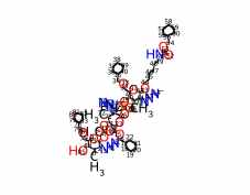 C[C@@H]1C(N=[N+]=[N-])[C@@H](OP(C)(=O)O[C@@H]2C(COCc3ccccc3)O[C@H](OP(C)(=O)O[C@@H]3C(COCc4ccccc4)O[C@H](OCCCCCCNC(=O)OCc4ccccc4)C(N=[N+]=[N-])[C@H]3C)C(N=[N+]=[N-])[C@H]2C)OC(COCc2ccccc2)[C@H]1O